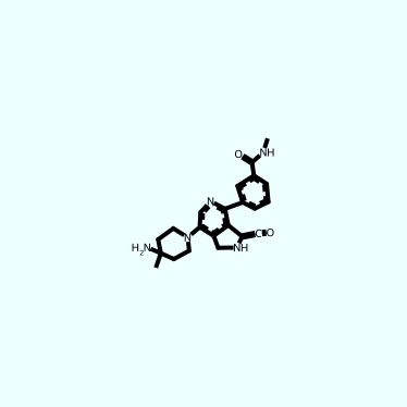 CNC(=O)c1cccc(-c2ncc(N3CCC(C)(N)CC3)c3c2C(=C=O)NC3)c1